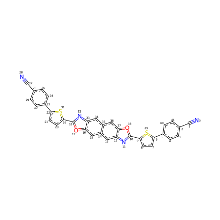 N#Cc1ccc(-c2ccc(-c3nc4cc5cc6oc(-c7ccc(-c8ccc(C#N)cc8)s7)nc6cc5cc4o3)s2)cc1